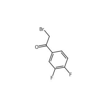 O=C(CBr)c1ccc(F)c(F)c1